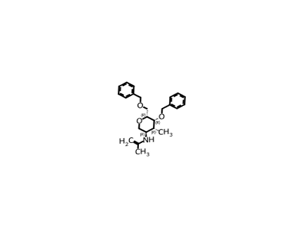 C=C(C)N[C@H]1CO[C@H](COCc2ccccc2)[C@H](OCc2ccccc2)[C@@H]1C